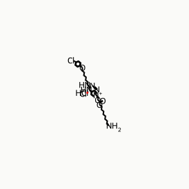 Cl.N#CN=C(NCCCCCCOc1ccc(Cl)cc1)Nc1cc[n+](COC(=O)OCCCCCCCCN)cc1.[Cl-]